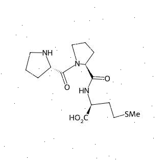 CSCC[C@H](NC(=O)[C@@H]1CCCN1C(=O)[C@@H]1CCCN1)C(=O)O